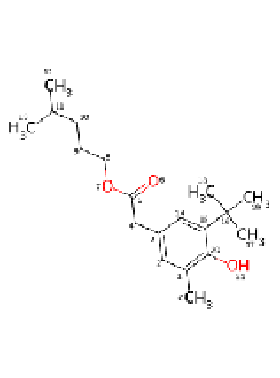 Cc1cc(CC(=O)OCCCC(C)C)cc(C(C)(C)C)c1O